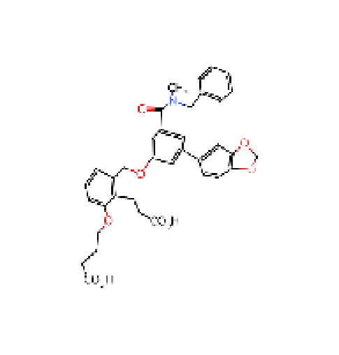 CN(Cc1ccccc1)C(=O)c1cc(OCc2cccc(OCCCC(=O)O)c2CCC(=O)O)cc(-c2ccc3c(c2)OCO3)c1